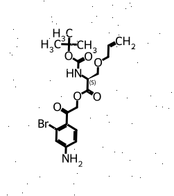 C=CCOC[C@H](NC(=O)OC(C)(C)C)C(=O)OCC(=O)c1ccc(N)cc1Br